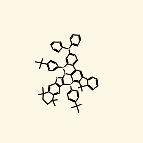 CC(C)(C)c1ccc(N2B3c4sc5cc6c(cc5c4N(c4ccc(C(C)(C)C)cc4)c4c3c(cc3c4C(C)(C)c4ccccc4-3)-c3ccc(N(c4ccccc4)c4ccccc4)cc32)C(C)(C)CCC6(C)C)cc1